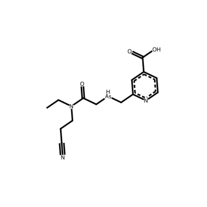 CCN(CCC#N)C(=O)C[AsH]Cc1cc(C(=O)O)ccn1